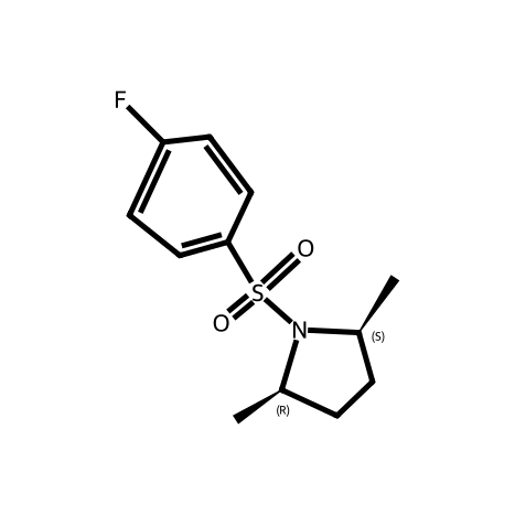 C[C@@H]1CC[C@H](C)N1S(=O)(=O)c1ccc(F)cc1